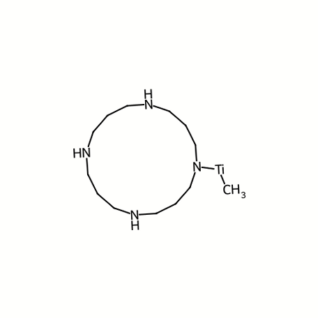 [CH3][Ti][N]1CCCNCCCNCCCNCCC1